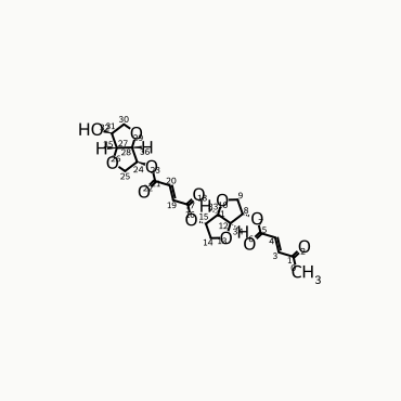 CC(=O)C=CC(=O)O[C@H]1CO[C@H]2[C@@H]1OC[C@@H]2OC(=O)C=CC(=O)O[C@H]1CO[C@H]2[C@@H]1OC[C@@H]2O